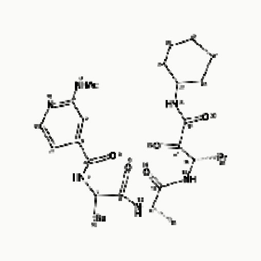 CC(=O)Nc1cc(C(=O)NC(C(=O)N[C@@H](C)C(=O)N[C@H](C(=O)C(=O)NC2CCCCC2)C(C)C)C(C)(C)C)ccn1